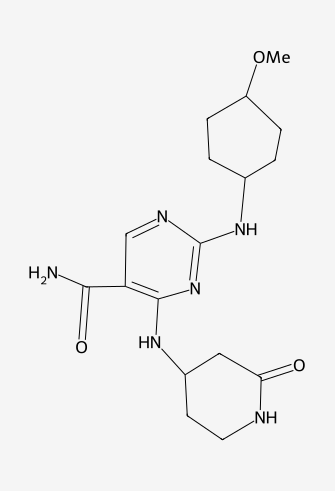 COC1CCC(Nc2ncc(C(N)=O)c(NC3CCNC(=O)C3)n2)CC1